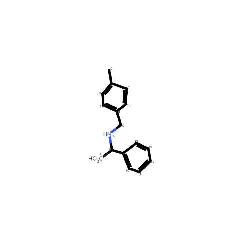 Cc1ccc(CNC(C(=O)O)c2ccccc2)cc1